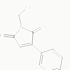 O=C1C=C(c2ccccc2)C(=O)N1CCl